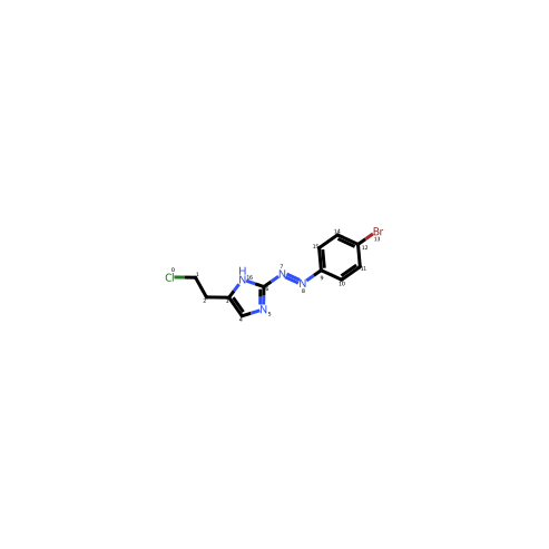 ClCCc1cnc(N=Nc2ccc(Br)cc2)[nH]1